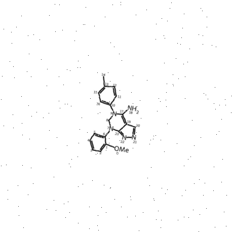 COc1ccccc1N1CN(c2ccc(C)cc2)C(N)=C2C=NN=C21